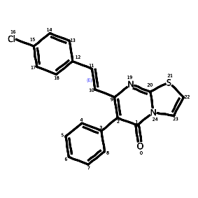 O=c1c(-c2ccccc2)c(/C=C/c2ccc(Cl)cc2)nc2sccn12